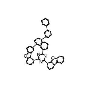 c1ccc(-c2cccc(-c3ccc(-c4ccc5oc6cccc(-c7nc(-c8ccccc8)nc(-c8cccc9c8oc8ccccc89)n7)c6c5c4)cc3)c2)cc1